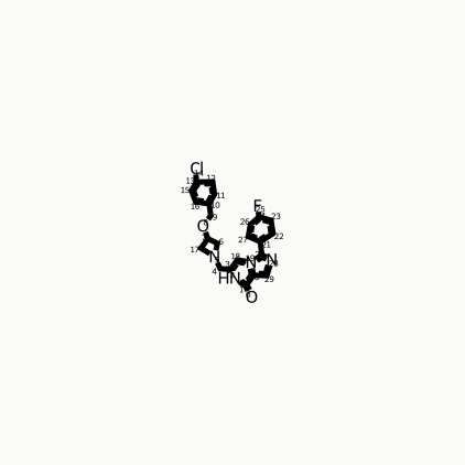 O=c1[nH]c(CN2CC(OCc3ccc(Cl)cc3)C2)cn2c(-c3ccc(F)cc3)ncc12